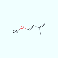 C=C(C)C=CON=O